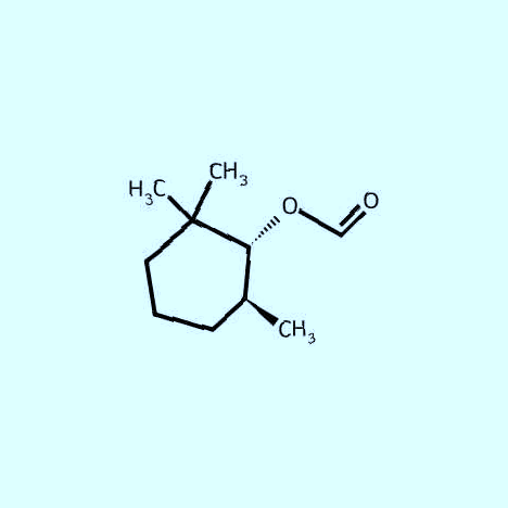 C[C@H]1CCCC(C)(C)[C@@H]1OC=O